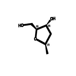 C[C@@H]1C[C@@H](O)[C@H](CO)O1